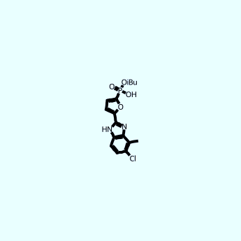 Cc1c(Cl)ccc2[nH]c(-c3ccc(P(=O)(O)OCC(C)C)o3)nc12